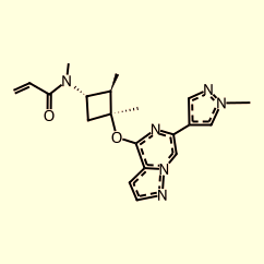 C=CC(=O)N(C)[C@H]1C[C@](C)(Oc2nc(-c3cnn(C)c3)cn3nccc23)[C@@H]1C